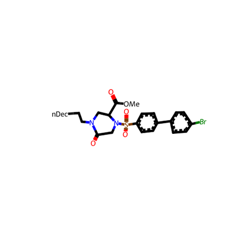 CCCCCCCCCCCCN1CC(C(=O)OC)N(S(=O)(=O)c2ccc(-c3ccc(Br)cc3)cc2)CC1=O